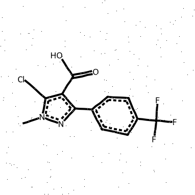 Cn1nc(-c2ccc(C(F)(F)F)cc2)c(C(=O)O)c1Cl